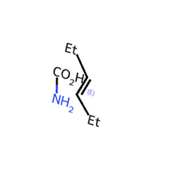 CC/C=C/CC.NC(=O)O